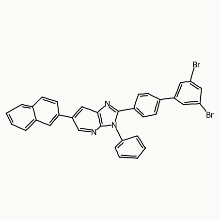 Brc1cc(Br)cc(-c2ccc(-c3nc4cc(-c5ccc6ccccc6c5)cnc4n3-c3ccccc3)cc2)c1